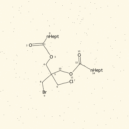 CCCCCCCC(=O)OCC(CCl)(CBr)COC(=O)CCCCCCC